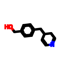 OCc1ccc(CC2C=CN=CC2)cc1